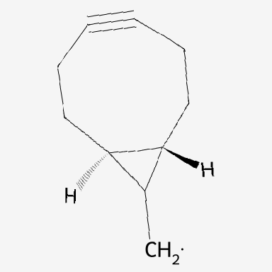 [CH2]C1[C@H]2CCC#CCC[C@H]12